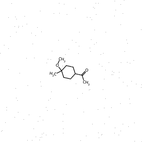 COC1(C)CCC(C(C)=O)CC1